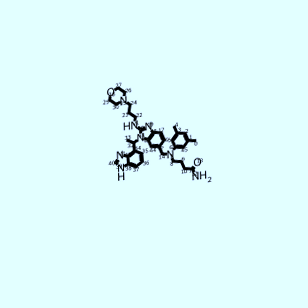 Cc1cc(C)cc(N(CCCC(N)=O)Cc2ccc3nc(NCCCN4CCOCC4)n(C(C)c4cccc5[nH]cnc45)c3c2)c1